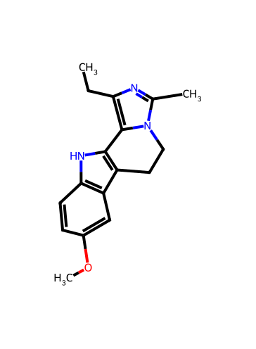 CCc1nc(C)n2c1-c1[nH]c3ccc(OC)cc3c1CC2